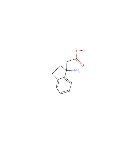 COC(=O)CC1(N)CCc2ccccc21